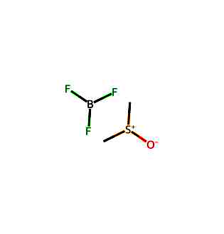 C[S+](C)[O-].FB(F)F